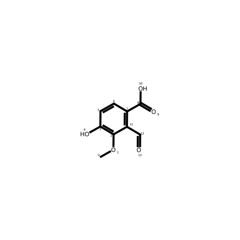 COc1c(O)ccc(C(=O)O)c1C=O